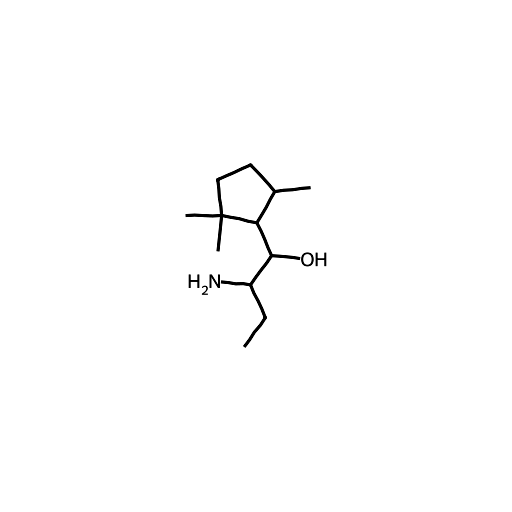 CCC(N)C(O)C1C(C)CCC1(C)C